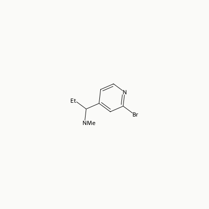 CCC(NC)c1ccnc(Br)c1